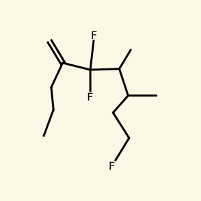 C=C(CCC)C(F)(F)C(C)C(C)CCF